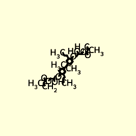 C=C(C)C(=O)OCC(O)COc1ccc(C(C)(C)c2ccc(OCC(O)COC(=O)C(=C)C)c(C=CC)c2)cc1C=CC